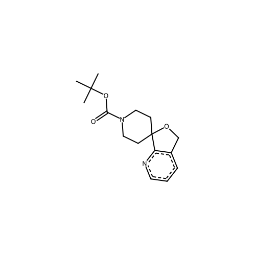 CC(C)(C)OC(=O)N1CCC2(CC1)OCc1cccnc12